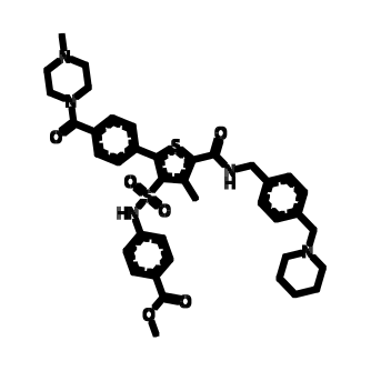 COC(=O)c1ccc(NS(=O)(=O)c2c(-c3ccc(C(=O)N4CCN(C)CC4)cc3)sc(C(=O)NCc3ccc(CN4CCCCC4)cc3)c2C)cc1